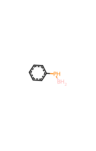 BPc1ccccc1